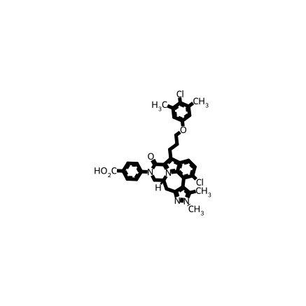 Cc1cc(OCCCc2c3n4c5c(c(Cl)ccc25)-c2c(nn(C)c2C)C[C@@H]4CN(c2ccc(C(=O)O)cc2)C3=O)cc(C)c1Cl